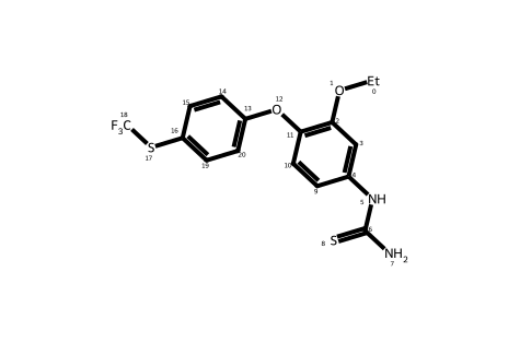 CCOc1cc(NC(N)=S)ccc1Oc1ccc(SC(F)(F)F)cc1